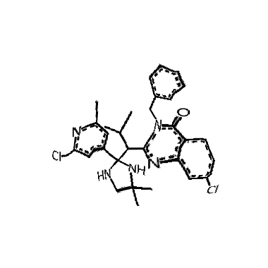 Cc1cc(C2(C(c3nc4cc(Cl)ccc4c(=O)n3Cc3ccccc3)C(C)C)NCC(C)(C)N2)cc(Cl)n1